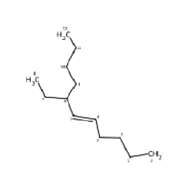 [CH2]CCCC=CC(CC)CCC[CH2]